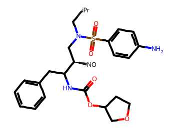 CC(C)CN(C[C@@H](N=O)C(Cc1ccccc1)NC(=O)OC1CCOC1)S(=O)(=O)c1ccc(N)cc1